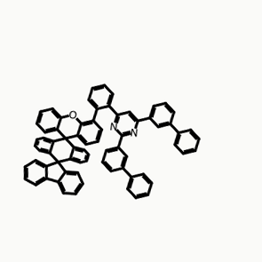 c1ccc(-c2cccc(-c3cc(-c4ccccc4-c4cccc5c4Oc4ccccc4C54c5ccccc5C5(c6ccccc6-c6ccccc65)c5ccccc54)nc(-c4cccc(-c5ccccc5)c4)n3)c2)cc1